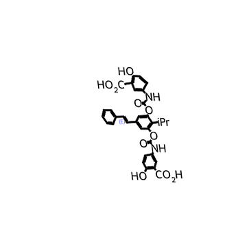 CC(C)c1c(OC(=O)Nc2ccc(O)c(C(=O)O)c2)cc(/C=C/c2ccccc2)cc1OC(=O)Nc1ccc(O)c(C(=O)O)c1